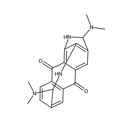 CN(C)C1Nc2c3cc4c(c2NC3N(C)C)C(=O)c2ccc1cc2C4=O